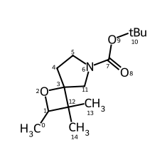 CC1OC2(CCN(C(=O)OC(C)(C)C)C2)C1(C)C